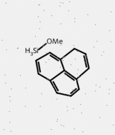 C1=Cc2cccc3cccc(c23)C1.CO[SiH3]